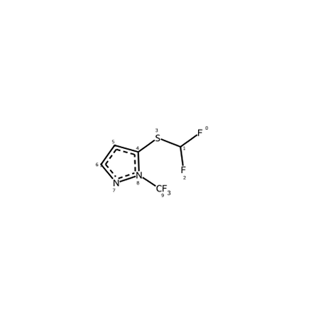 FC(F)Sc1c[c]nn1C(F)(F)F